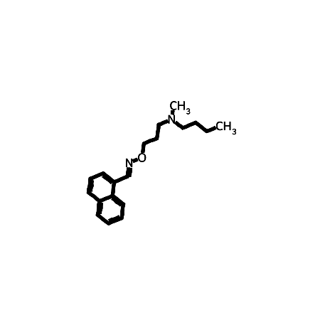 CCCCN(C)CCCON=Cc1cccc2ccccc12